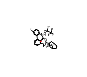 C[N+]1(C)C2CCC1CC(COC(=O)Nc1ccc(F)cc1-c1cccc(Cl)c1)C2.O=C([O-])C(F)(F)F